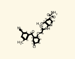 Cc1cc(C#N)cc(C(=O)c2cc(Cl)ccc2OCC(=O)Nc2ncc(S(N)(=O)=O)cc2C)c1